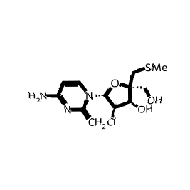 C=C1N=C(N)C=CN1[C@@H]1O[C@@](CO)(CSC)[C@@H](O)[C@H]1Cl